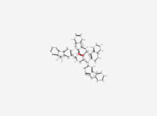 CC1(C)c2ccccc2-c2ccc(-c3ccc(N(c4ccc5sc6ccccc6c5c4)c4ccc5ccccc5c4-c4ccc5sc6ccccc6c5c4)cc3)cc21